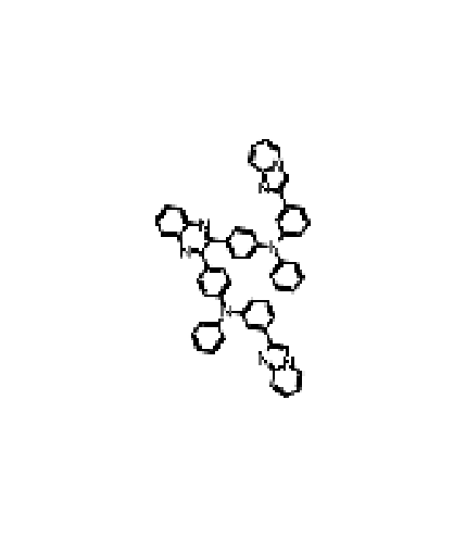 c1ccc(N(c2ccc(-c3nc4ccccc4nc3-c3ccc(N(c4ccccc4)c4cccc(-c5cn6ccccc6n5)c4)cc3)cc2)c2cccc(-c3cn4ccccc4n3)c2)cc1